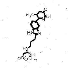 CNC(=C[N+](=O)[O-])NCCCc1nc2cc(C3=NNC(=O)CC3C)ccc2[nH]1